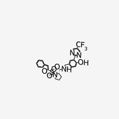 O=C(NCc1ccc(O)c(-c2ncc(C(F)(F)F)cn2)c1)[C@@H]1CCCN1S(=O)(=O)c1cc2ccccc2o1